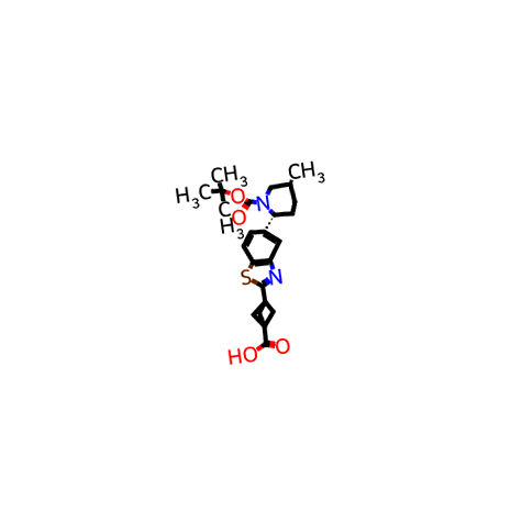 C[C@H]1CC[C@H](c2ccc3sc(C45CC(C(=O)O)(C4)C5)nc3c2)N(C(=O)OC(C)(C)C)C1